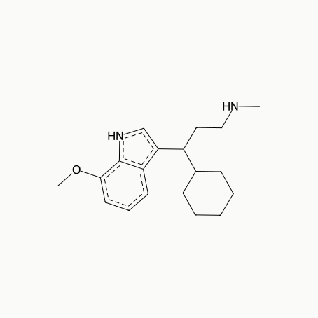 CNCCC(c1c[nH]c2c(OC)cccc12)C1CCCCC1